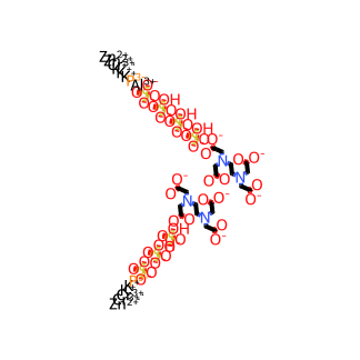 O=C([O-])CN(CCN(CC(=O)[O-])CC(=O)[O-])CC(=O)[O-].O=C([O-])CN(CCN(CC(=O)[O-])CC(=O)[O-])CC(=O)[O-].O=S(=O)([O-])O.O=S(=O)([O-])O.O=S(=O)([O-])O.O=S(=O)([O-])O.O=S(=O)([O-])O.O=S(=O)([O-])[O-].O=S(=O)([O-])[O-].[Al+3].[Cr+3].[Cr+3].[Cr+3].[K+].[K+].[K+].[K+].[K+].[P-3].[P-3].[Zn+2].[Zn+2].[Zn+2]